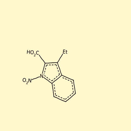 CCc1c(C(=O)O)n([N+](=O)[O-])c2ccccc12